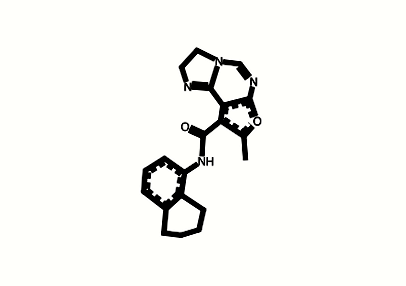 Cc1oc2c(c1C(=O)Nc1cccc3c1CCCC3)C1=NCCN1C=N2